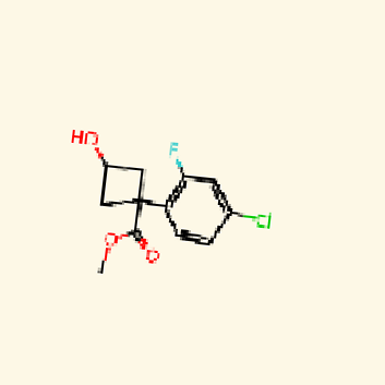 COC(=O)C1(c2ccc(Cl)cc2F)CC(O)C1